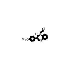 COc1ccc(C2CSc3ccccc3N(CCCl)C2=O)cc1